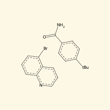 Brc1cccc2ncccc12.CC(C)(C)c1ccc(C(N)=O)cc1